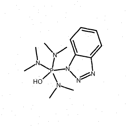 CN(C)P(O)(N(C)C)(N(C)C)n1nnc2ccccc21